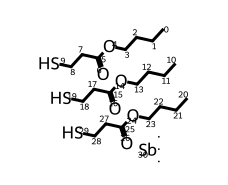 CCCCOC(=O)CCS.CCCCOC(=O)CCS.CCCCOC(=O)CCS.[Sb]